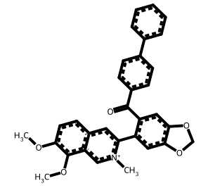 COc1ccc2cc(-c3cc4c(cc3C(=O)c3ccc(-c5ccccc5)cc3)OCO4)[n+](C)cc2c1OC